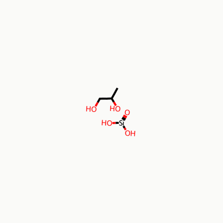 CC(O)CO.O=[Si](O)O